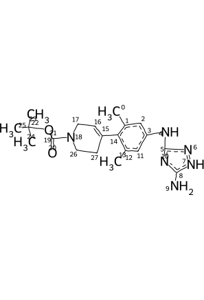 Cc1cc(Nc2n[nH]c(N)n2)cc(C)c1C1=CCN(C(=O)OC(C)(C)C)CC1